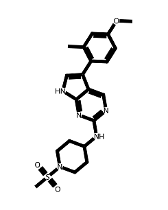 COc1ccc(-c2c[nH]c3nc(NC4CCN(S(C)(=O)=O)CC4)ncc23)c(C)c1